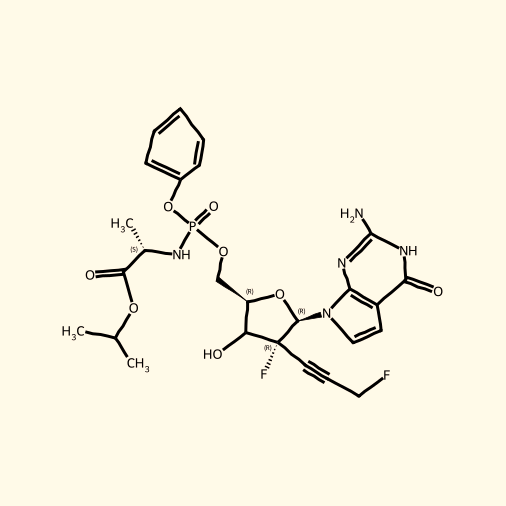 CC(C)OC(=O)[C@H](C)NP(=O)(OC[C@H]1O[C@@H](n2ccc3c(=O)[nH]c(N)nc32)[C@@](F)(C#CCF)C1O)Oc1ccccc1